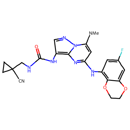 CNc1cc(Nc2cc(F)cc3c2OCCO3)nc2c(NC(=O)NCC3(C#N)CC3)cnn12